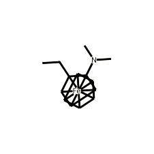 CC[C]12[CH]3[CH]4[CH]5[C]1(N(C)C)[Fe]43521678[CH]2[CH]1[CH]6[CH]7[CH]28